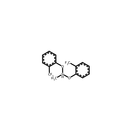 C[SiH](Oc1ccccc1C(F)(F)F)Oc1ccccc1C(F)(F)F